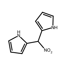 O=[N+]([O-])C(c1ccc[nH]1)c1ccc[nH]1